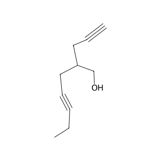 C#CCC(CO)CC#CCC